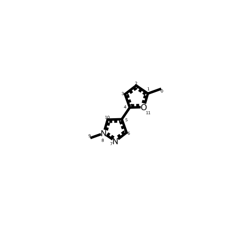 Cc1ccc(-c2cnn(C)c2)o1